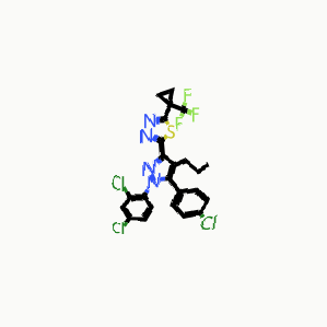 CCCc1c(-c2nnc(C3(C(F)(F)F)CC3)s2)nn(-c2ccc(Cl)cc2Cl)c1-c1ccc(Cl)cc1